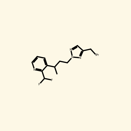 CC(C)Cc1cnn(CCC(C)c2cccnc2C(F)F)n1